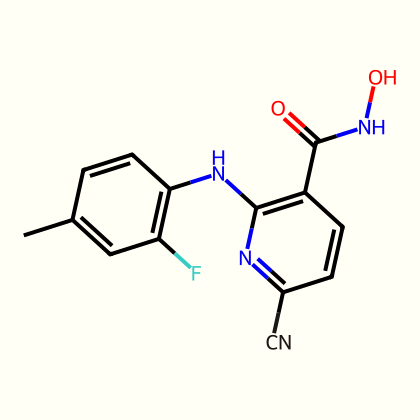 Cc1ccc(Nc2nc(C#N)ccc2C(=O)NO)c(F)c1